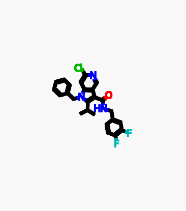 CC(C)c1c(C(=O)NCc2ccc(F)c(F)c2)c2cnc(Cl)cc2n1Cc1ccccc1